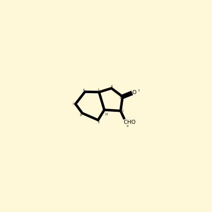 O=CC1C(=O)CC2CCCCC21